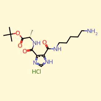 C[C@H](NC(=O)c1nc[nH]c1C(=O)NCCCCCN)C(=O)OC(C)(C)C.Cl